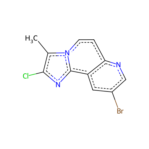 Cc1c(Cl)nc2c3cc(Br)cnc3ccn12